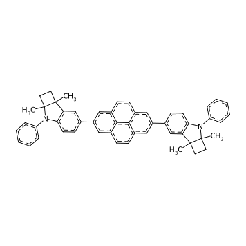 CC12CCC1(C)N(c1ccccc1)c1ccc(-c3cc4ccc5cc(-c6ccc7c(c6)C6(C)CCC6(C)N7c6ccccc6)cc6ccc(c3)c4c56)cc12